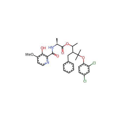 COc1ccnc(C(=O)N[C@@H](C)C(=O)OC(C)C(Cc2ccccc2)C(C)(C)Oc2ccc(Cl)cc2Cl)c1O